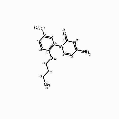 Nc1ccn(-c2cc(C=O)ccc2OCCCO)c(=O)n1